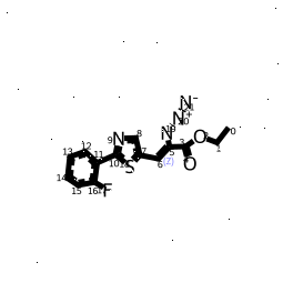 CCOC(=O)/C(=C/c1cnc(-c2ccccc2F)s1)N=[N+]=[N-]